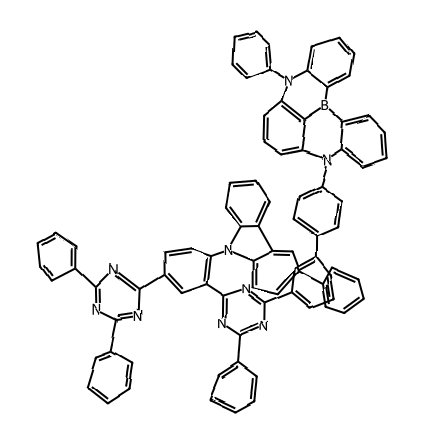 c1ccc(-c2ccc3c(c2)c2ccccc2n3-c2ccc(-c3nc(-c4ccccc4)nc(-c4ccccc4)n3)cc2-c2nc(-c3ccccc3)nc(-c3cccc(-c4ccc(N5c6ccccc6B6c7ccccc7N(c7ccccc7)c7cccc5c76)cc4)c3)n2)cc1